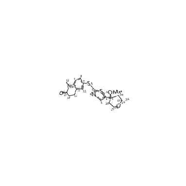 CO[C@]1(c2cnc(Sc3ccc4c(c3)CCC(=O)N4C)s2)CCO[C@@H](C)C1